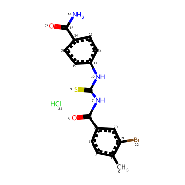 Cc1ccc(C(=O)NC(=S)Nc2ccc(C(N)=O)cc2)cc1Br.Cl